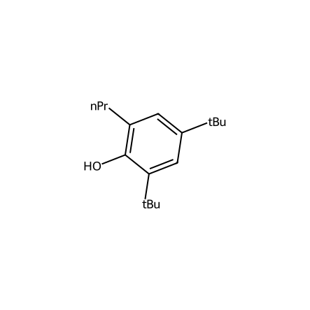 CCCc1cc(C(C)(C)C)cc(C(C)(C)C)c1O